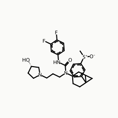 C[S+]([O-])c1cccc(C23CCC(N(CCCN4CC[C@H](O)C4)C(=O)Nc4ccc(F)c(F)c4)CC2C3)c1